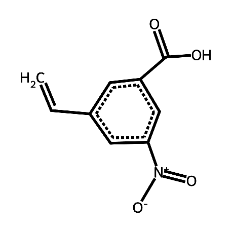 C=Cc1cc(C(=O)O)cc([N+](=O)[O-])c1